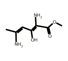 COC(=O)/C(N)=C(O)/C=C(/C)N